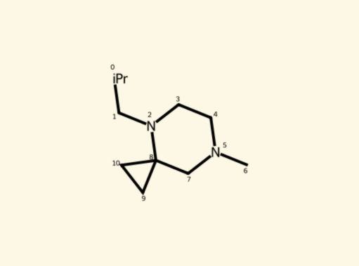 CC(C)CN1CCN(C)CC12CC2